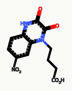 O=C(O)CCCn1c(=O)c(=O)[nH]c2ccc([N+](=O)[O-])cc21